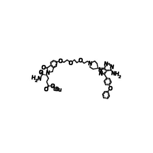 CC(C)(C)OC(=O)CCC(C(N)=O)N1Cc2cc(OCCOCCOCCN3CCC(n4nc(-c5ccc(Oc6ccccc6)cc5)c5c(N)ncnc54)CC3)ccc2C1=O